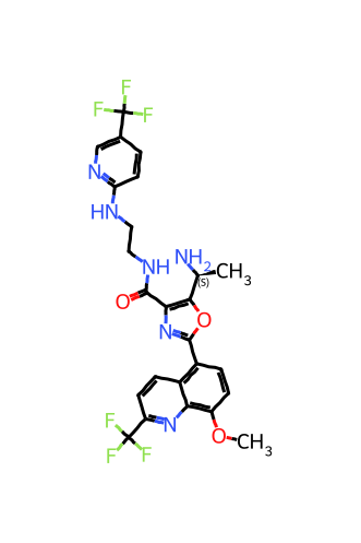 COc1ccc(-c2nc(C(=O)NCCNc3ccc(C(F)(F)F)cn3)c([C@H](C)N)o2)c2ccc(C(F)(F)F)nc12